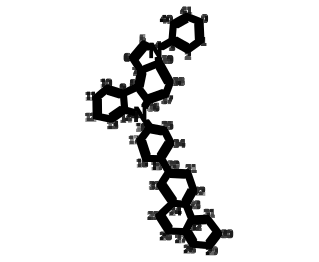 c1ccc(-n2ccc3c4c5ccccc5n(-c5ccc(-c6ccc7c(ccc8ccccc87)c6)cc5)c4ccc32)cc1